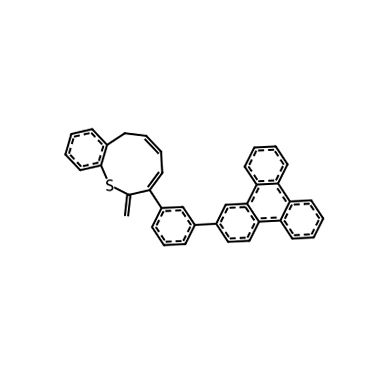 C=C1Sc2ccccc2C/C=C\C=C/1c1cccc(-c2ccc3c4ccccc4c4ccccc4c3c2)c1